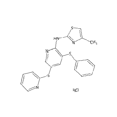 Cc1csc(Nc2ncc(Sc3ccccn3)cc2Sc2ccccc2)n1.Cl